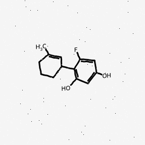 CC1=CC(c2c(O)cc(O)cc2F)CCC1